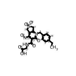 CCc1ccc(Cn2c3c(c(N=O)c(C(=O)NCC(=O)O)c2=O)CS(=O)(=O)C3)cc1